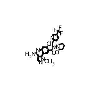 Cn1ncc2c(N)nc3cc(Cl)c(C(=O)N(Cc4ccc(C(F)(F)F)cn4)N4CCCCC4=O)cc3c21